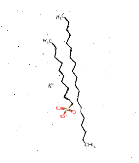 CCCCCCCCCCCCCCCCCCCC.CCCCCCCCCCS(=O)(=O)[O-].[K+]